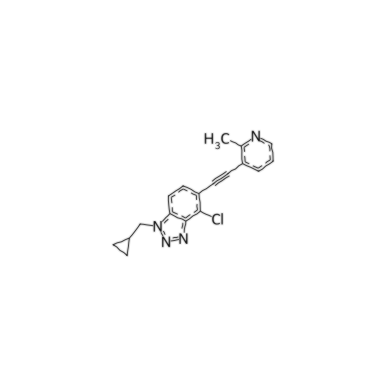 Cc1ncccc1C#Cc1ccc2c(nnn2CC2CC2)c1Cl